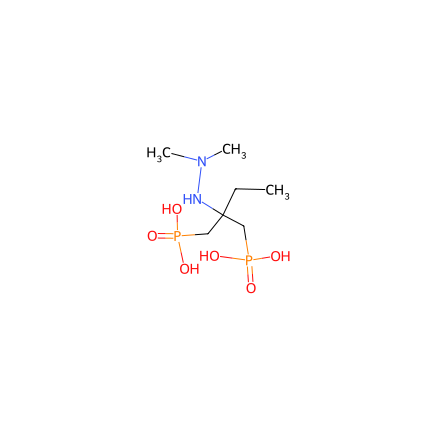 CCC(CP(=O)(O)O)(CP(=O)(O)O)NN(C)C